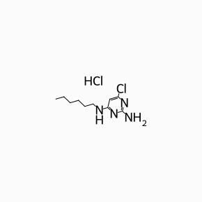 CCCCCCNc1cc(Cl)nc(N)n1.Cl